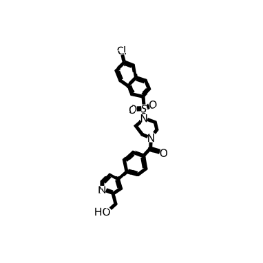 O=C(c1ccc(-c2ccnc(CO)c2)cc1)N1CCN(S(=O)(=O)c2ccc3cc(Cl)ccc3c2)CC1